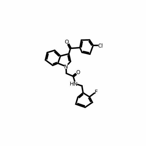 O=C(Cn1cc(C(=O)c2ccc(Cl)cc2)c2ccccc21)NCc1ccccc1F